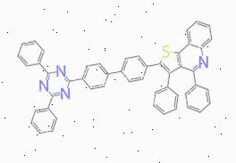 c1ccc(-c2nc(-c3ccccc3)nc(-c3ccc(-c4ccc(-c5sc6c(c(-c7ccccc7)nc7ccccc76)c5-c5ccccc5)cc4)cc3)n2)cc1